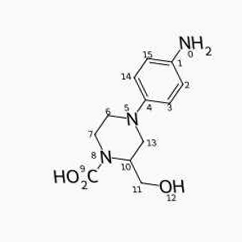 Nc1ccc(N2CCN(C(=O)O)C(CO)C2)cc1